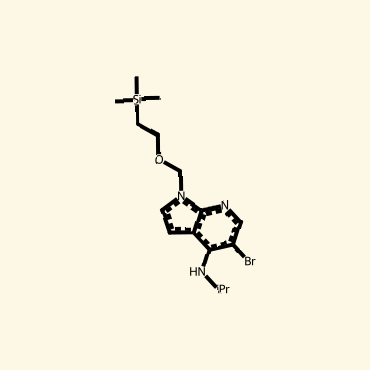 CC(C)Nc1c(Br)cnc2c1ccn2COCC[Si](C)(C)C